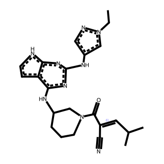 CCn1cc(Nc2nc(NC3CCCN(C(=O)/C(C#N)=C/C(C)C)C3)c3cc[nH]c3n2)cn1